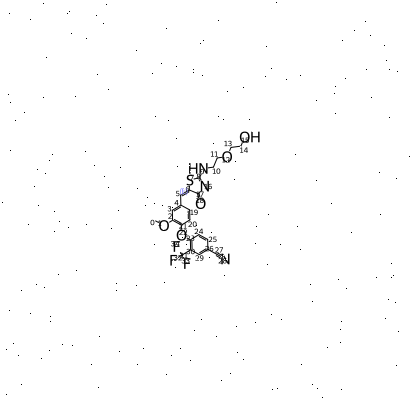 COc1cc(/C=C2/SC(NCCOCCO)=NC2=O)ccc1Oc1ccc(C#N)cc1C(F)(F)F